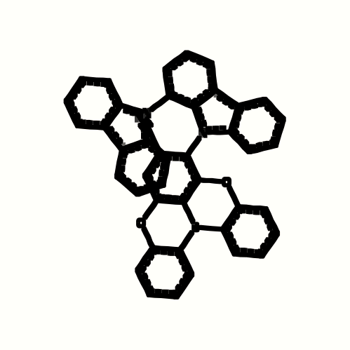 N#Cc1cc2c3c(c1-n1c4ccccc4c4cccc(-n5c6ccccc6c6ccccc65)c41)Oc1ccccc1B3c1ccccc1O2